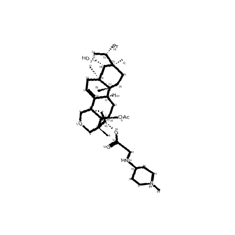 CC(=O)O[C@@H]1C[C@@]23COC[C@](C)([C@@H]2CC[C@H]2C3=CC[C@@]3(C)[C@H](C(=O)O)[C@@](C)([C@H](C)C(C)C)CC[C@]23C)[C@H]1OC(=O)CNC1CCN(C)CC1